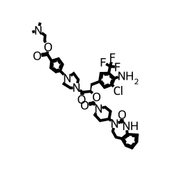 CN(C)CCOC(=O)c1ccc(N2CCN(C(=O)[C@@H](Cc3cc(Cl)c(N)c(C(F)(F)F)c3)OC(=O)N3CCC(N4CCc5ccccc5NC4=O)CC3)CC2)cc1